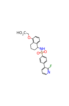 O=C(O)COc1cccc2c1CCCC2NS(=O)(=O)c1ccc(-c2cccnc2F)cc1